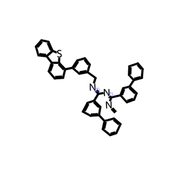 C=N/C(=N\C(=N/Cc1cccc(-c2cccc3c2sc2ccccc23)c1)c1cccc(-c2ccccc2)c1)c1cccc(-c2ccccc2)c1